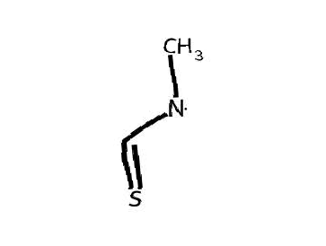 C[N]C=S